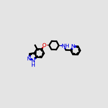 Cc1c(O[C@H]2CC[C@H](NCc3ccccn3)CC2)ccc2[nH]ncc12